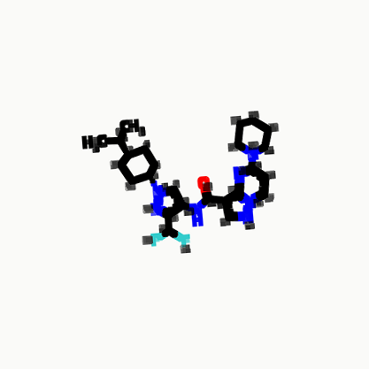 CC(C)[C@H]1CC[C@H](n2cc(NC(=O)c3cnn4ccc(N5CCCCC5)nc34)c(C(F)F)n2)CC1